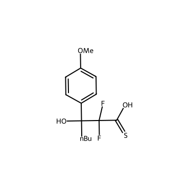 CCCCC(O)(c1ccc(OC)cc1)C(F)(F)C(O)=S